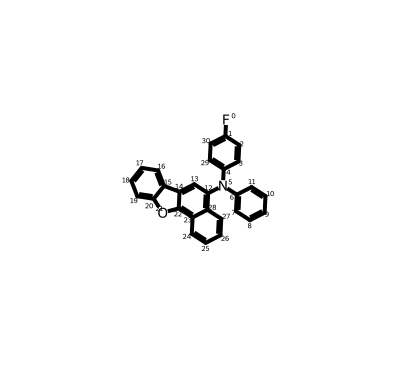 Fc1ccc(N(c2ccccc2)c2cc3c4ccccc4oc3c3ccccc23)cc1